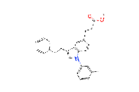 COC(=O)CCc1ccc2c(c1)c(CCc1ccccc1)cn2-c1cccc(C)c1